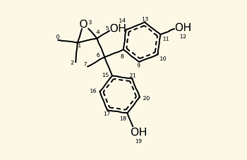 CC1(C)OC1(O)C(C)(c1ccc(O)cc1)c1ccc(O)cc1